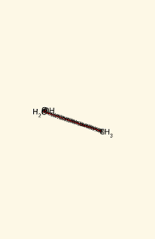 C=C(CCCCCCCCCCCCCCCCCCCCCCCCCCCCCCCCCCCCCCCCCCCCCCCCCCCCCCCCCCCCC)C(=O)O